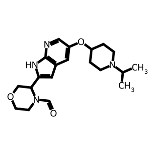 CC(C)N1CCC(Oc2cnc3[nH]c(C4COCCN4C=O)cc3c2)CC1